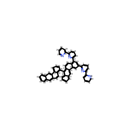 c1ccc(-c2cccc(-c3cc(-c4cccc(-c5ccccn5)n4)c4ccc5c(-c6cccc7c6ccc6cc8ccccc8cc67)c6ccccc6cc5c4c3)n2)nc1